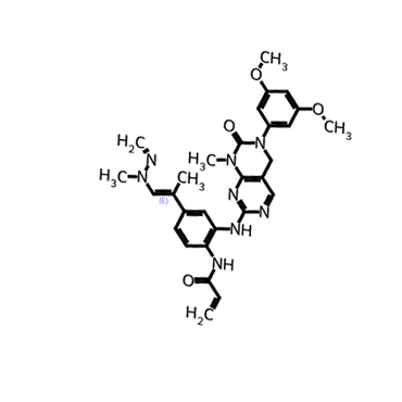 C=CC(=O)Nc1ccc(/C(C)=C/N(C)N=C)cc1Nc1ncc2c(n1)N(C)C(=O)N(c1cc(OC)cc(OC)c1)C2